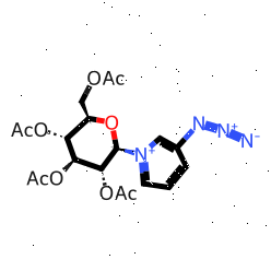 CC(=O)OC[C@H]1O[C@@H]([n+]2cccc(N=[N+]=[N-])c2)[C@H](OC(C)=O)[C@@H](OC(C)=O)[C@@H]1OC(C)=O